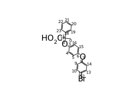 CC(Oc1ccc(Oc2ccc(Br)cc2)cc1)(C(=O)O)c1ccccc1